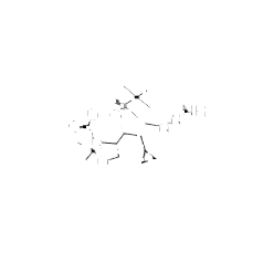 CC1(C)OC[C@H]([C@H](O[Si](C)(C)C(C)(C)C)[C@H](CN=[N+]=N)C2CC2)N1C(=O)[O-]